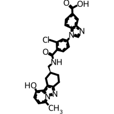 Cc1ccc(O)c2c3c(nn12)CC[C@H](CNC(=O)c1ccc(-n2cnc4cc(C(=O)O)ccc42)cc1Cl)C3